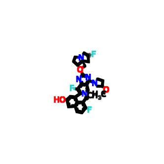 C#Cc1c(F)ccc2cc(O)cc(-c3ncc4c(N5CCC(OC)C5)nc(OC[C@@]56CCCN5C[C@H](F)C6)nc4c3F)c12